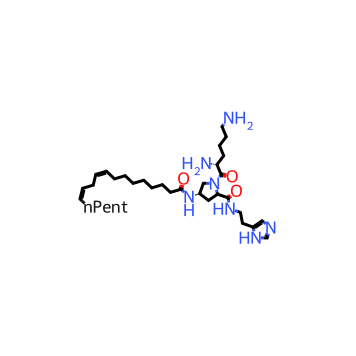 CCCCC/C=C\C/C=C\CCCCCCCC(=O)N[C@H]1CC(C(=O)NCCc2cnc[nH]2)N(C(=O)[C@H](N)CCCCN)C1